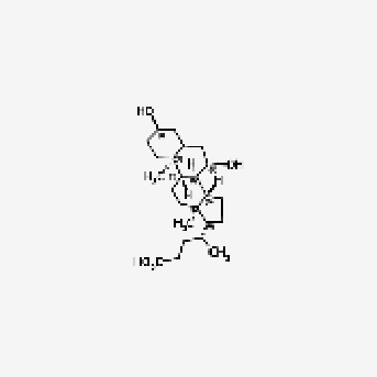 CC(CCC(=O)O)[C@H]1CC[C@H]2[C@@H]3[C@H](O)CC4C[C@H](O)CC[C@]4(C)[C@H]3CC[C@]12C